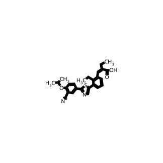 CCC(=Cc1cccc(-c2cnc(-c3ccc(OC(C)C)c(C#N)c3)s2)c1CC)C(=O)O